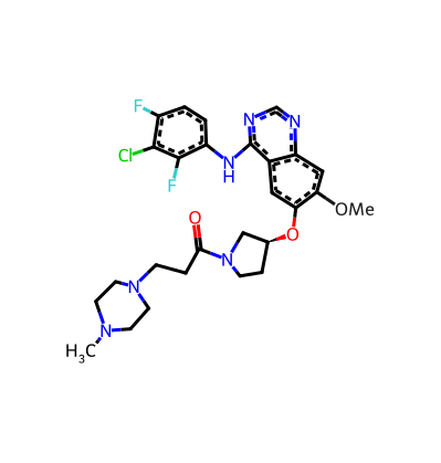 COc1cc2ncnc(Nc3ccc(F)c(Cl)c3F)c2cc1O[C@H]1CCN(C(=O)CCN2CCN(C)CC2)C1